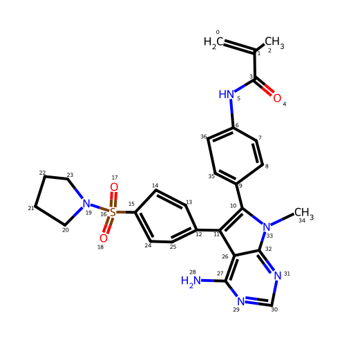 C=C(C)C(=O)Nc1ccc(-c2c(-c3ccc(S(=O)(=O)N4CCCC4)cc3)c3c(N)ncnc3n2C)cc1